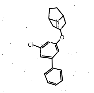 Clc1cc(OC2CC3CCC(C2)N3)cc(-c2ccccc2)c1